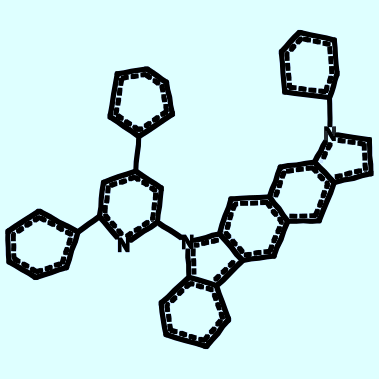 c1ccc(-c2cc(-c3ccccc3)nc(-n3c4ccccc4c4cc5cc6ccn(-c7ccccc7)c6cc5cc43)c2)cc1